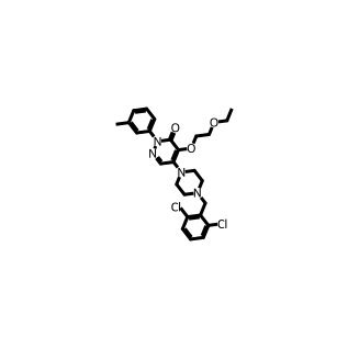 CCOCCOc1c(N2CCN(Cc3c(Cl)cccc3Cl)CC2)cnn(-c2cccc(C)c2)c1=O